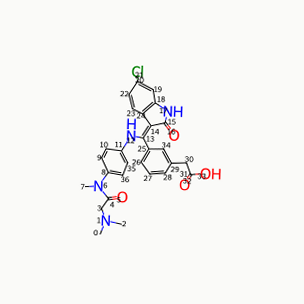 CN(C)CC(=O)N(C)c1ccc(NC(=C2C(=O)Nc3cc(Cl)ccc32)c2cccc(CC(=O)O)c2)cc1